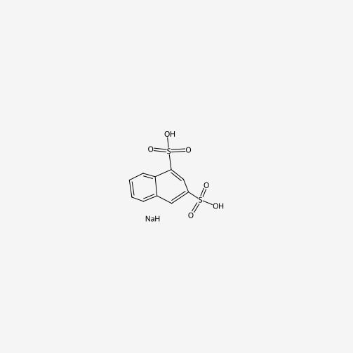 O=S(=O)(O)c1cc(S(=O)(=O)O)c2ccccc2c1.[NaH]